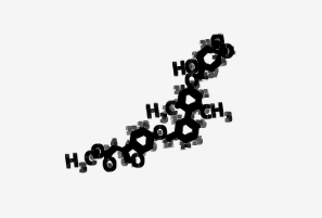 COC(=O)C[C@@H]1COc2cc(OCc3cccc(-c4c(C)cc(OCC5(O)CCS(=O)(=O)CC5)cc4C)c3)ccc21